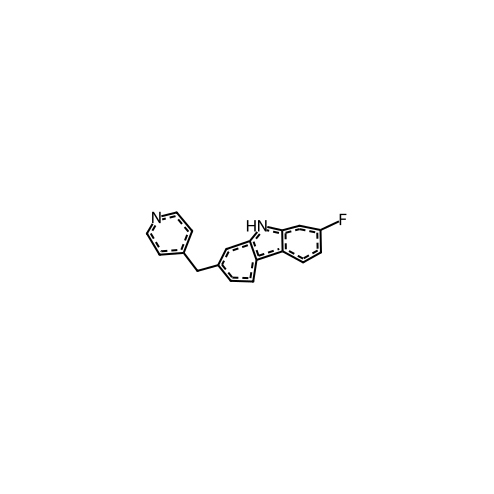 Fc1ccc2c(c1)[nH]c1cc(Cc3ccncc3)ccc12